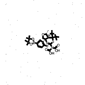 C[C@H]1OC[C@]2(c3cc(B4OC(C)(C)C(C)(C)O4)ccc3F)N=C(N(C(=O)O)C(=O)O)SC(C(C)(C)C)(C(C)(C)C)[C@H]12